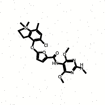 CNc1nc(OC)c(NC(=O)c2ccc(Oc3c(Cl)cc(C)c4c3CC[Si]4(C)C)o2)c(OC)n1